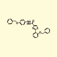 O=C(NNc1ccc(OCc2ccccc2)cc1)c1csc(-c2ccccc2OCc2ccccc2)n1